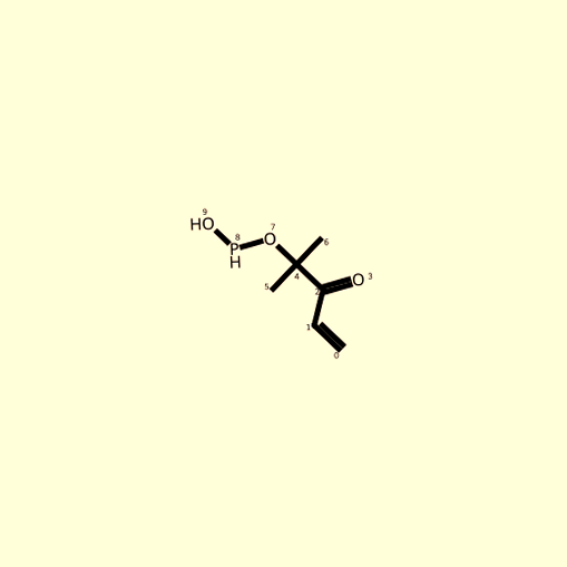 C=CC(=O)C(C)(C)OPO